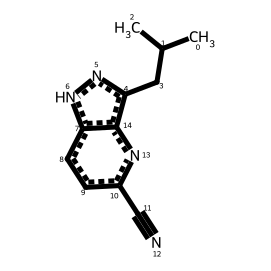 CC(C)Cc1n[nH]c2ccc(C#N)nc12